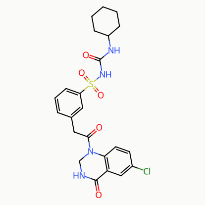 O=C(NC1CCCCC1)NS(=O)(=O)c1cccc(CC(=O)N2CNC(=O)c3cc(Cl)ccc32)c1